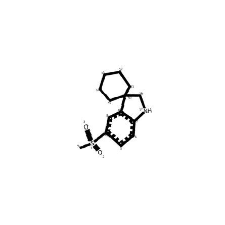 CS(=O)(=O)c1ccc2c(c1)C1(CCCCC1)CN2